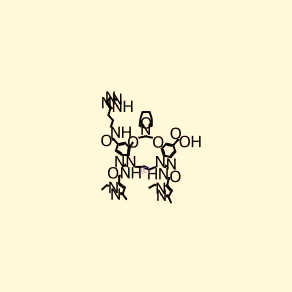 CCn1nc(C)cc1C(=O)Nc1nc2cc(C(=O)O)cc3c2n1C/C=C/Cn1c(NC(=O)c2cc(C)nn2CC)nc2cc(C(=O)NCCCc4nnn[nH]4)cc(c21)OCC(N1CC2CCC(C1)O2)CO3